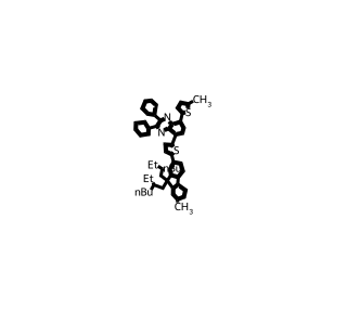 CCCCC(CC)CC1(CC(CC)CCCC)c2cc(C)ccc2-c2ccc(-c3ccc(-c4ccc(-c5ccc(C)s5)c5nc(-c6ccccc6)c(-c6ccccc6)nc45)s3)cc21